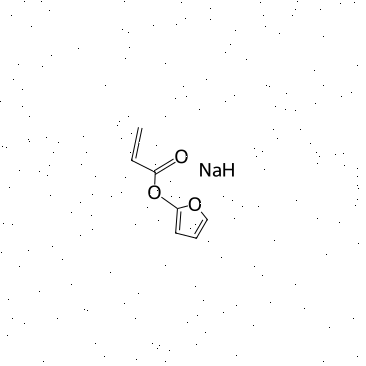 C=CC(=O)Oc1ccco1.[NaH]